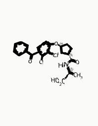 C[C@H](NC(=O)[C@H]1CC[C@H](Oc2ccc(C(=O)c3ccccc3)c(Cl)c2Cl)C1)C(=O)O